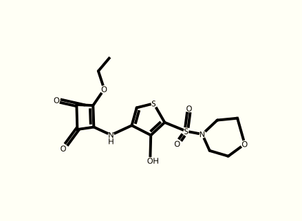 CCOc1c(Nc2csc(S(=O)(=O)N3CCOCC3)c2O)c(=O)c1=O